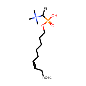 CCCCCCCCCCC/C=C\CCCCCOP(=O)(O)C(CC)[N+](C)(C)C